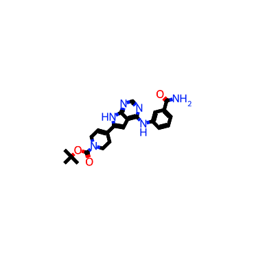 CC(C)(C)OC(=O)N1CC=C(c2cc3c(Nc4cccc(C(N)=O)c4)ncnc3[nH]2)CC1